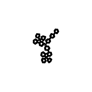 c1ccc(-c2ccc(-c3ccc(N(c4ccc(-c5cccc6c5-c5ccccc5C6(c5ccccc5)c5ccccc5)cc4)c4ccc5c(c4)C(c4ccccc4)(c4ccccc4)c4ccccc4-5)cc3)cc2)cc1